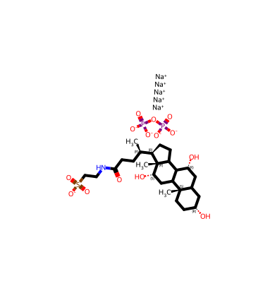 C[C@H](CCC(=O)NCCS(=O)(=O)[O-])[C@H]1CCC2C3C(C[C@H](O)[C@@]21C)[C@@]1(C)CC[C@@H](O)CC1C[C@H]3O.O=P([O-])([O-])OP(=O)([O-])[O-].[Na+].[Na+].[Na+].[Na+].[Na+]